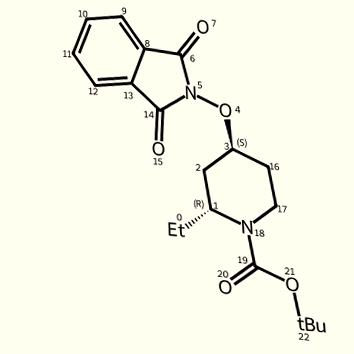 CC[C@@H]1C[C@@H](ON2C(=O)c3ccccc3C2=O)CCN1C(=O)OC(C)(C)C